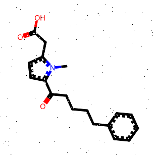 Cn1c(CC(=O)O)ccc1C(=O)CCCCc1ccccc1